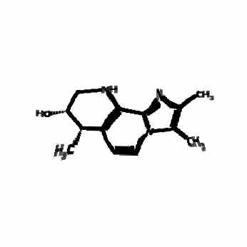 Cc1nc2c3c(ccn2c1C)[C@H](C)[C@H](O)CN3